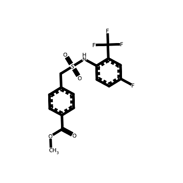 COC(=O)c1ccc(CS(=O)(=O)Nc2ccc(F)cc2C(F)(F)F)cc1